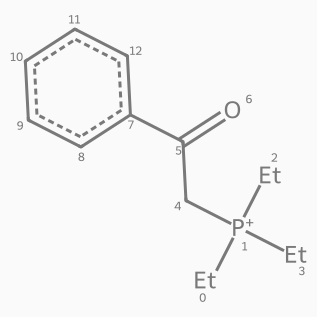 CC[P+](CC)(CC)CC(=O)c1ccccc1